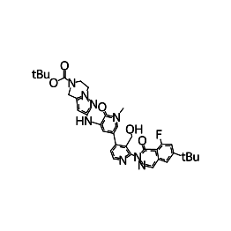 Cn1cc(-c2ccnc(-n3ncc4cc(C(C)(C)C)cc(F)c4c3=O)c2CO)cc(Nc2cc3n(n2)CCN(C(=O)OC(C)(C)C)C3)c1=O